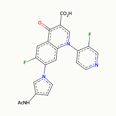 CC(=O)Nc1ccn(-c2cc3c(cc2F)c(=O)c(C(=O)O)cn3-c2ccncc2F)c1